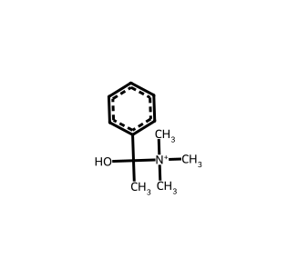 CC(O)(c1ccccc1)[N+](C)(C)C